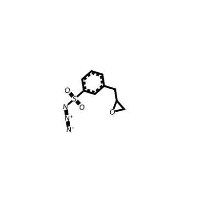 [N-]=[N+]=NS(=O)(=O)c1cccc(CC2CO2)c1